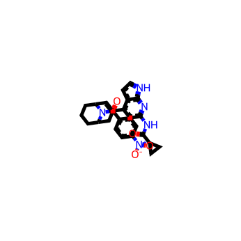 O=C(Nc1cc(C2=CC3CCCC(C2)N3C(=O)c2ccc([N+](=O)[O-])cc2)c2cc[nH]c2n1)C1CC1